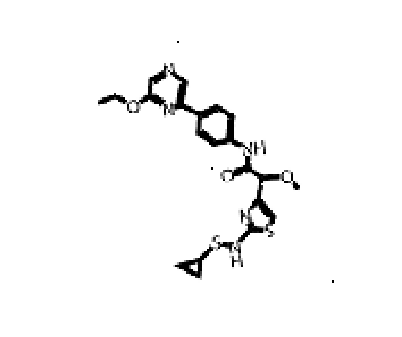 CCOc1cncc(-c2ccc(NC(=O)C(OC)c3csc(NSC4CC4)n3)cc2)n1